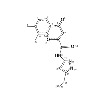 Cc1ccc2c(=O)cc(C(=O)Nc3nnc(CC(C)C)s3)oc2c1C